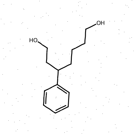 OCCCCC(CCO)c1ccccc1